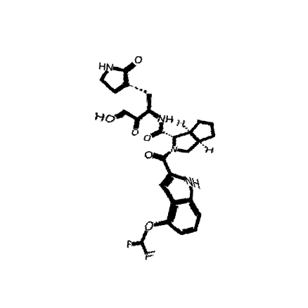 O=C(CO)C(C[C@@H]1CCNC1=O)NC(=O)[C@@H]1[C@H]2CCC[C@H]2CN1C(=O)c1cc2c(OC(F)F)cccc2[nH]1